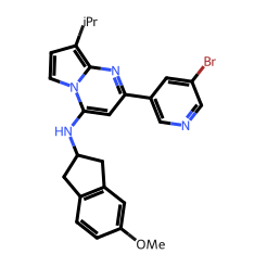 COc1ccc2c(c1)CC(Nc1cc(-c3cncc(Br)c3)nc3c(C(C)C)ccn13)C2